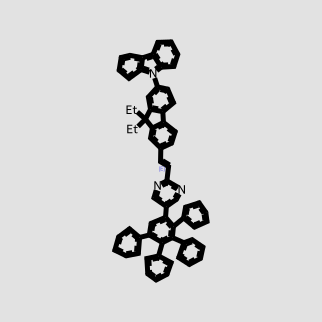 CCC1(CC)c2cc(/C=C/c3ncc(-c4cc(-c5ccccc5)c(-c5ccccc5)c(-c5ccccc5)c4-c4ccccc4)cn3)ccc2-c2ccc(-n3c4ccccc4c4ccccc43)cc21